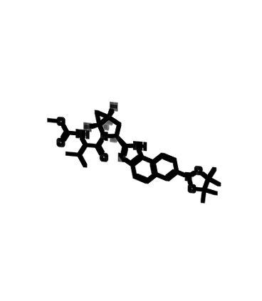 COC(=O)NC(C(=O)N1[C@@H]2C[C@@H]2C[C@H]1c1nc2ccc3cc(B4OC(C)(C)C(C)(C)O4)ccc3c2[nH]1)C(C)C